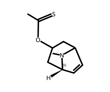 CC(=S)OC1CC2C=C[C@H](C1)N2C